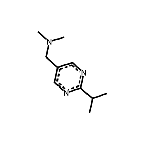 CC(C)c1ncc(CN(C)C)cn1